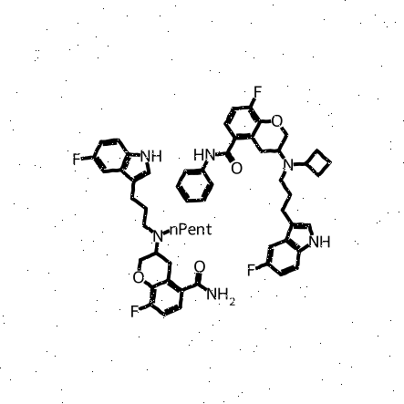 CCCCCN(CCCc1c[nH]c2ccc(F)cc12)C1COc2c(F)ccc(C(N)=O)c2C1.O=C(Nc1ccccc1)c1ccc(F)c2c1CC(N(CCCc1c[nH]c3ccc(F)cc13)C1CCC1)CO2